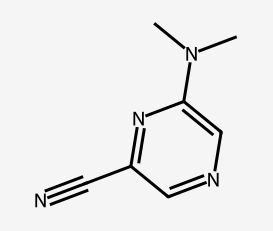 CN(C)c1cncc(C#N)n1